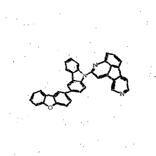 c1cc2c3c(cc(-n4c5ccccc5c5cc(-c6ccc7oc8ccccc8c7c6)ccc54)nc3c1)-c1cnccc1-2